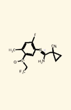 Cc1cc(F)c(/N=C(\N)C2(C#N)CC2)cc1[S+]([O-])CC(F)(F)F